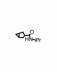 CC(C)NC(=O)C1CC2CC2C1